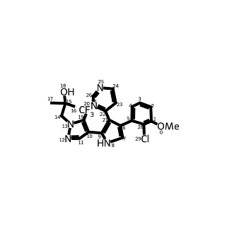 COc1cccc(-c2c[nH]c(-c3cnn(CC(C)(C)O)c3C(F)(F)F)c2-c2ccncn2)c1Cl